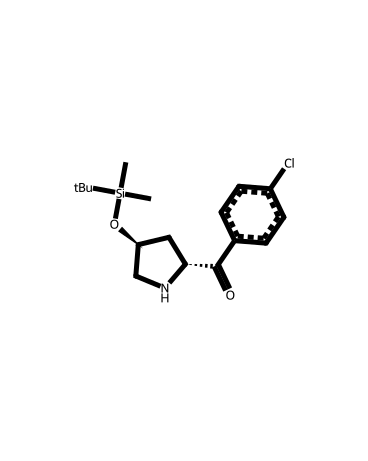 CC(C)(C)[Si](C)(C)O[C@@H]1CN[C@@H](C(=O)c2ccc(Cl)cc2)C1